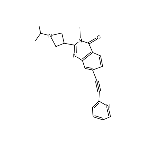 CC(C)N1CC(c2nc3cc(C#Cc4ccccn4)ccc3c(=O)n2C)C1